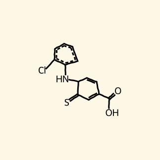 O=C(O)C1=CC(=S)C(Nc2ccccc2Cl)C=C1